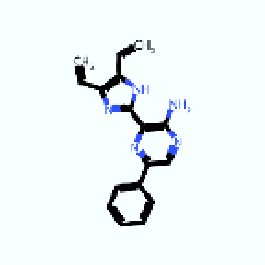 C=Cc1nc(-c2nc(-c3ccccc3)cnc2N)[nH]c1C=C